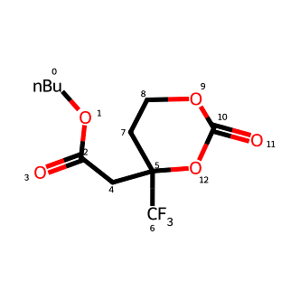 CCCCOC(=O)CC1(C(F)(F)F)CCOC(=O)O1